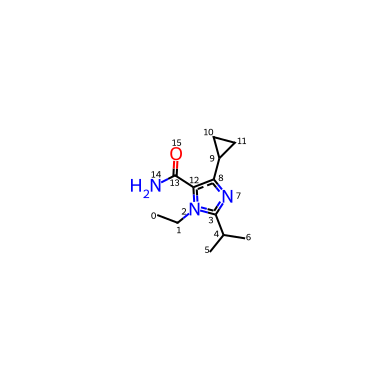 CCn1c(C(C)C)nc(C2CC2)c1C(N)=O